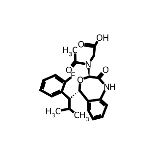 CC(=O)N(CC(=O)O)[C@@H]1O[C@@H](C(c2ccccc2F)C(C)C)c2ccccc2NC1=O